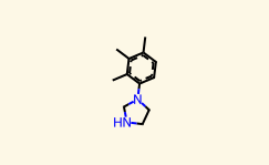 Cc1ccc(N2CCNC2)c(C)c1C